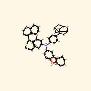 c1ccc(-c2cccc3cccc(-c4cccc(N(c5ccc(C67CC8CC(CC(C8)C6)C7)cc5)c5ccc6oc7ccccc7c6c5)c4)c23)cc1